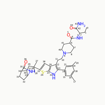 CCC(NC(=O)C1CCN(CCc2c(-c3cc(C)cc(C)c3)[nH]c3sc(C(C)(C)CC4C5CCC4C(=O)N5)cc23)CC1)C(N)=O